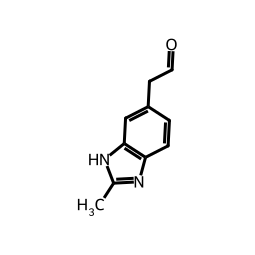 Cc1nc2ccc(CC=O)cc2[nH]1